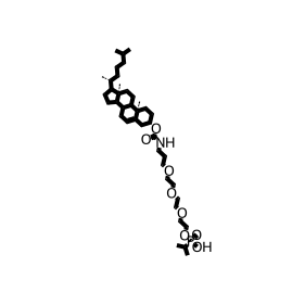 CC(C)CCC[C@@H](C)C1CCC2C3CC=C4C[C@@H](OC(=O)NCCCOCCOCCOCCOP(=O)(O)C(C)C)CC[C@]4(C)C3CC[C@@]21C